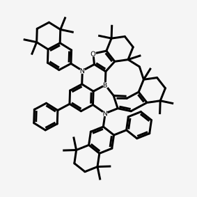 CC1(C)CCC(C)(C)c2cc(N3c4cc(-c5ccccc5)cc5c4B4c6cc7c(cc6N5c5cc6c(cc5-c5ccccc5)C(C)(C)CCC6(C)C)C(C)(C)CCC7(C)CC5(C)CCC(C)(C)c6oc3c4c65)ccc21